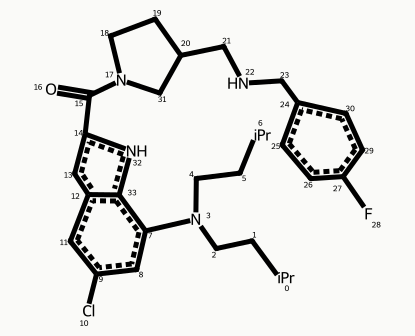 CC(C)CCN(CCC(C)C)c1cc(Cl)cc2cc(C(=O)N3CCC(CNCc4ccc(F)cc4)C3)[nH]c12